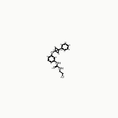 S=C(NCCCl)Nc1cccc(OC23CC2(c2ccccc2)C3)c1